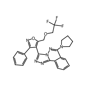 FC(F)(F)COCc1onc(-c2ccccc2)c1-c1nnc2c3ccccc3c(N3CCCC3)nn12